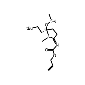 C=CCOC(=O)N=C1CC[C@](CCC(C)(C)C)(O[SiH](C)C)N1C